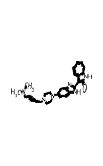 CN(C)CCCN1CCN(c2ccc3[nH]c(-c4c5cccccc-5[nH]c4=O)nc3c2)CC1